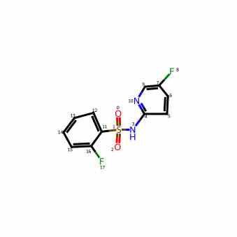 O=S(=O)(Nc1ccc(F)cn1)c1ccccc1F